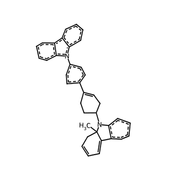 CC12CC=CC=C1c1ccccc1N2C1CC=C(c2ccc(-n3c4ccccc4c4ccccc43)cc2)CC1